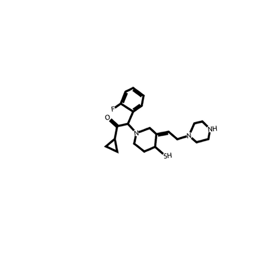 O=C(C1CC1)C(c1ccccc1F)N1CCC(S)/C(=C\CN2CCNCC2)C1